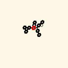 c1ccc(-c2ccc(N(c3ccc4c(c3)oc3ccccc34)c3ccc(-c4ccc5c6ccccc6c6ccccc6c5c4)c4c3C3c5ccccc5C4c4ccccc43)cc2)cc1